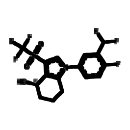 O=S(=O)(c1cn(-c2ccc(F)c(C(F)F)c2)c2c1[C@H](O)CCC2)C(F)(F)F